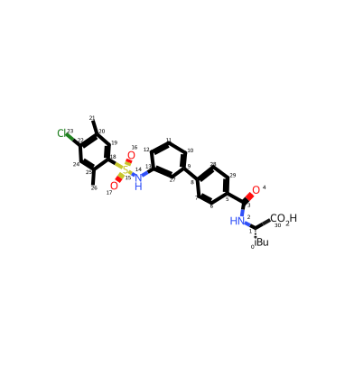 CCC(C)[C@H](NC(=O)c1ccc(-c2cccc(NS(=O)(=O)c3cc(C)c(Cl)cc3C)c2)cc1)C(=O)O